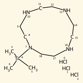 Cl.Cl.Cl.[CH3][Ti]([CH3])([CH3])[N]1CCNCCNCCNCC1